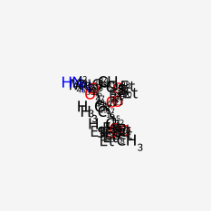 CC[C@H](O[Si](CC)(CC)CC)[C@@H](C)[C@@H]1O[C@H]1CC(C)(/C=C/C=C(\C)C1OC(=O)CC(O[Si](CC)(CC)CC)CCC(C)(OC)C(OC(=O)N2CCNCC2)C=CC1C)O[Si](CC)(CC)CC